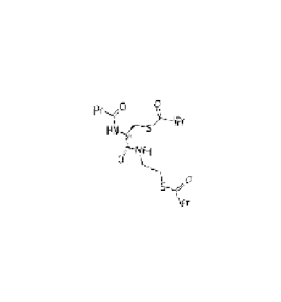 CC(C)C(=O)N[C@@H](CSC(=O)C(C)C)C(=O)NCCSC(=O)C(C)C